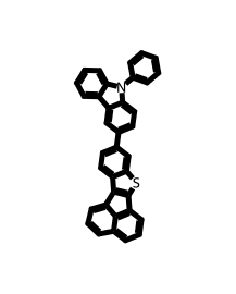 c1ccc(-n2c3ccccc3c3cc(-c4ccc5c6c(sc5c4)-c4cccc5cccc-6c45)ccc32)cc1